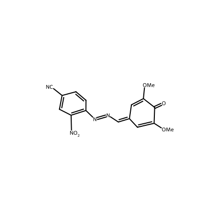 COC1=CC(=CN=Nc2ccc(C#N)cc2[N+](=O)[O-])C=C(OC)C1=O